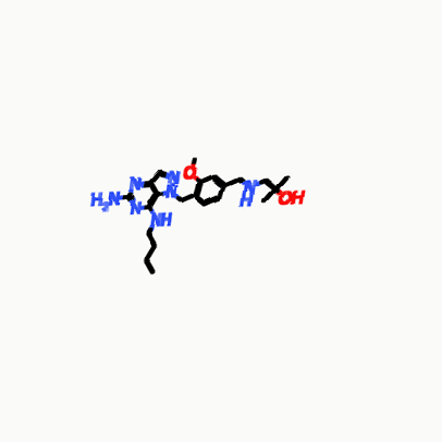 CCCCNc1nc(N)nc2cnn(Cc3ccc(CNCC(C)(C)O)cc3OC)c12